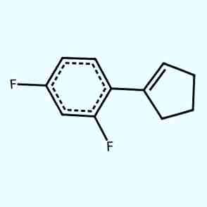 Fc1ccc(C2=CCCC2)c(F)c1